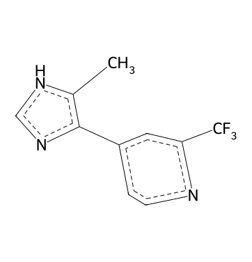 Cc1[nH]cnc1-c1ccnc(C(F)(F)F)c1